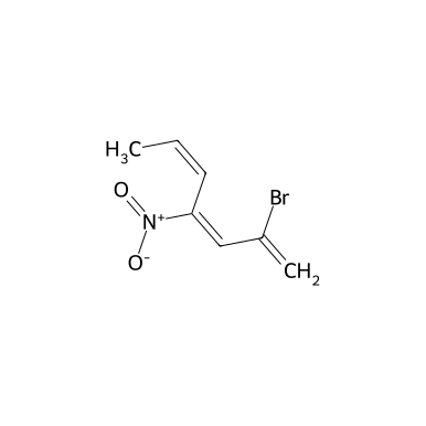 C=C(Br)/C=C(\C=C/C)[N+](=O)[O-]